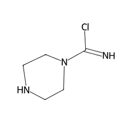 N=C(Cl)N1CCNCC1